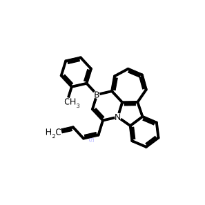 C=C/C=C\C1=CB(c2ccccc2C)C2=CC=C=Cc3c2n1c1ccccc31